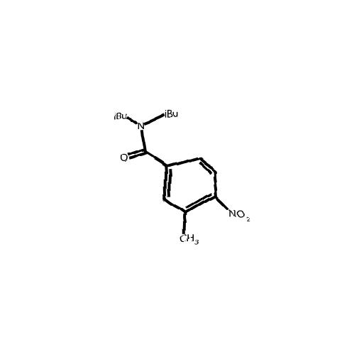 CCC(C)N(C(=O)c1ccc([N+](=O)[O-])c(C)c1)C(C)CC